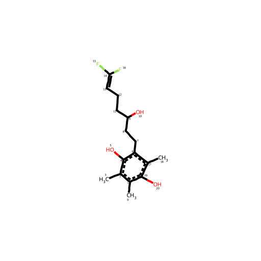 Cc1c(C)c(O)c(CCC(O)CCC=C(F)F)c(C)c1O